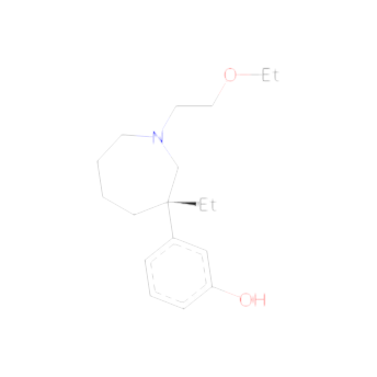 CCOCCN1CCCC[C@@](CC)(c2cccc(O)c2)C1